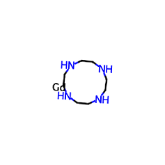 C1CNCCNCCNCCN1.[Gd]